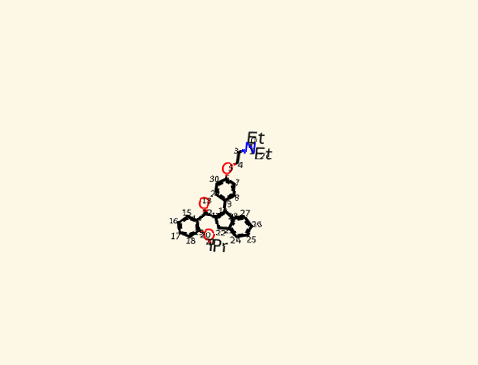 CCN(CC)CCOc1ccc(C2=C(C(=O)c3ccccc3OC(C)C)Cc3ccccc32)cc1